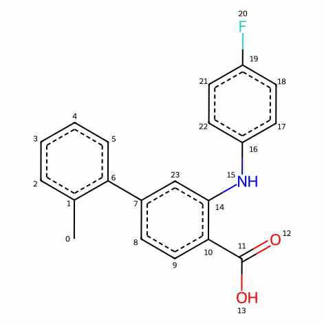 Cc1ccccc1-c1ccc(C(=O)O)c(Nc2ccc(F)cc2)c1